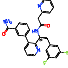 NC(=O)c1cccc(-c2cccnc2[C@H](Cc2cc(F)cc(F)c2)NC(=O)Cc2ccccn2)c1